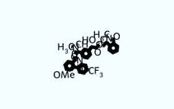 COc1cccc(C(=O)Nc2ccc(CC(=O)OC[C@@]3(C(=O)O)c4ccccc4C(=O)N3C)cc2C(=O)N(C)C)c1-c1ccc(C(F)(F)F)cc1